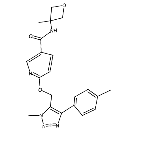 Cc1ccc(-c2nnn(C)c2COc2ccc(C(=O)NC3(C)COC3)cn2)cc1